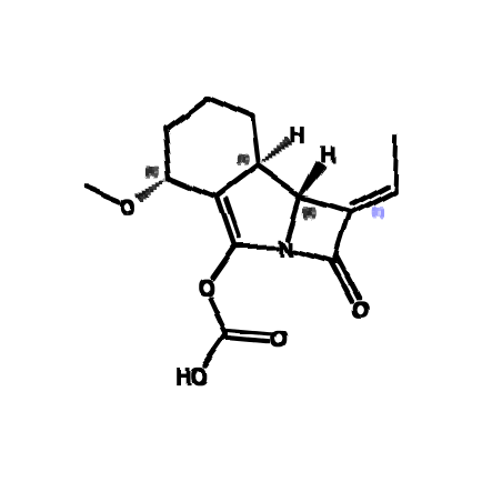 C/C=C1/C(=O)N2C(OC(=O)O)=C3[C@@H](CCC[C@H]3OC)[C@H]12